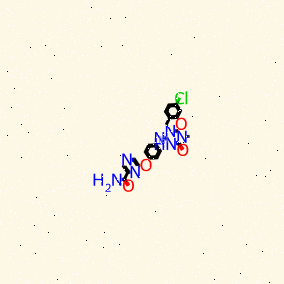 Cn1c(=O)[nH]/c(=N\c2ccc(Oc3cncc(C(N)=O)n3)cc2)n(Cc2ccc(Cl)cc2)c1=O